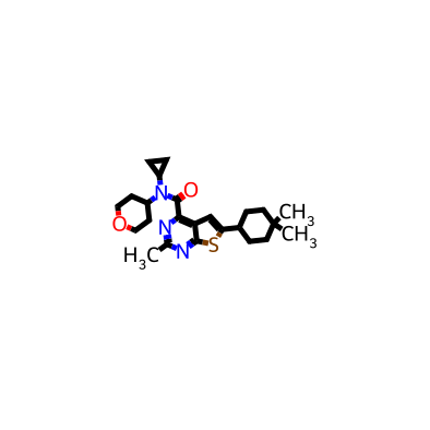 Cc1nc(C(=O)N(C2CCOCC2)C2CC2)c2cc(C3CCC(C)(C)CC3)sc2n1